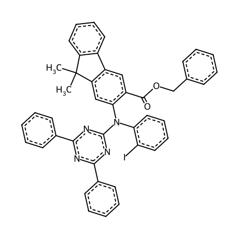 CC1(C)c2ccccc2-c2cc(C(=O)OCc3ccccc3)c(N(c3nc(-c4ccccc4)nc(-c4ccccc4)n3)c3ccccc3I)cc21